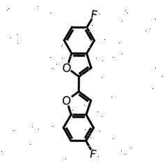 Fc1ccc2oc(-c3cc4cc(F)ccc4o3)cc2c1